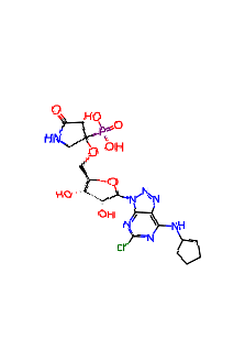 O=C1CC(OC[C@H]2O[C@@H](n3nnc4c(NC5CCCC5)nc(Cl)nc43)[C@H](O)[C@@H]2O)(P(=O)(O)O)CN1